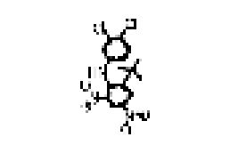 CC(C)(C)c1cc([N+](=O)[O-])cc([N+](=O)[O-])c1Nc1ccc(Cl)c(Cl)c1